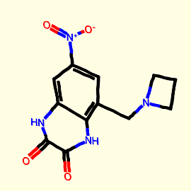 O=c1[nH]c2cc([N+](=O)[O-])cc(CN3CCC3)c2[nH]c1=O